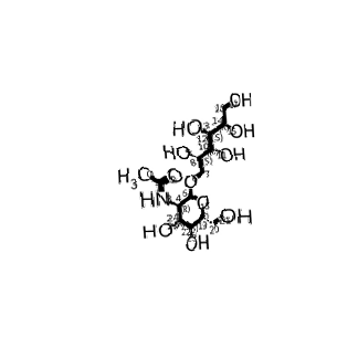 CC(=O)N[C@H]1C(OC[C@H](O)[C@@H](O)[C@@H](O)[C@H](O)CO)O[C@H](CO)[C@@H](O)[C@@H]1O